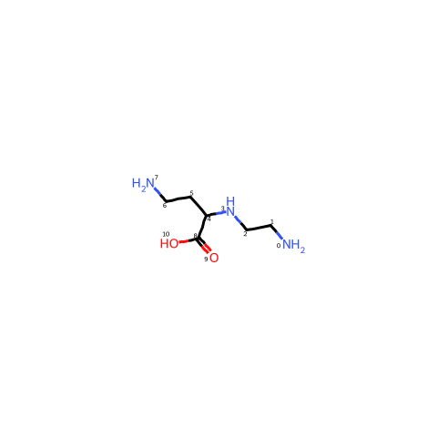 NCCNC(CCN)C(=O)O